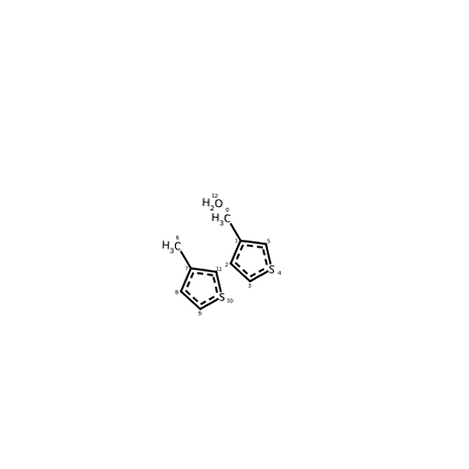 Cc1ccsc1.Cc1ccsc1.O